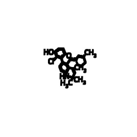 CC1=C[C@H]([C@@H]2Oc3ccc(O)c(Cl)c3-c3ccc4c(c32)C(C)=CC(C)(C)N4)CCC1